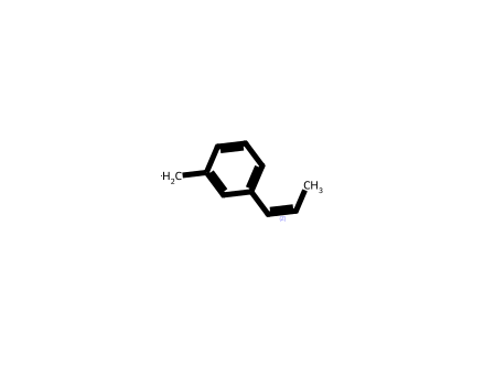 [CH2]c1cccc(/C=C\C)c1